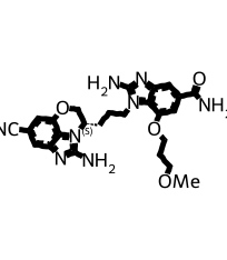 COCCCOc1cc(C(N)=O)cc2nc(N)n(CCC[C@H]3COc4cc(C#N)cc5nc(N)n3c45)c12